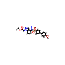 CCOC(=O)Cn1ncc2c1CCCC2NS(=O)(=O)c1ccc(-c2ccc(OC)cc2)cc1